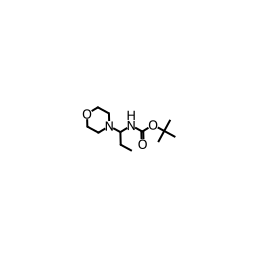 CCC(NC(=O)OC(C)(C)C)N1CCOCC1